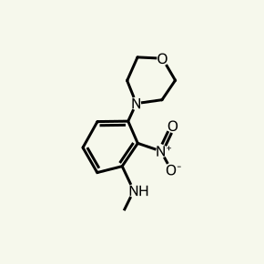 CNc1cccc(N2CCOCC2)c1[N+](=O)[O-]